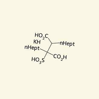 CCCCCCCC(C(=O)O)C(CCCCCCC)(C(=O)O)S(=O)(=O)O.[KH]